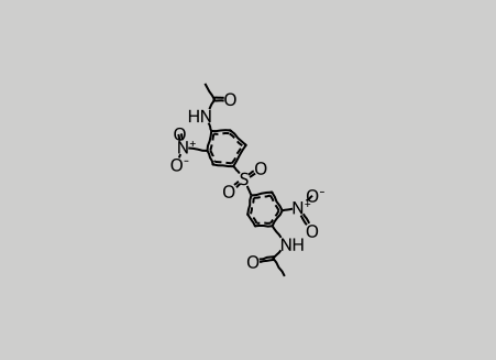 CC(=O)Nc1ccc(S(=O)(=O)c2ccc(NC(C)=O)c([N+](=O)[O-])c2)cc1[N+](=O)[O-]